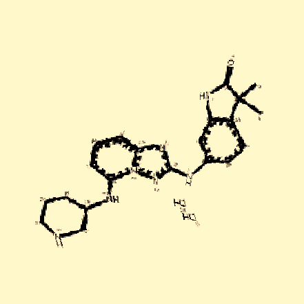 CC1(C)C(=O)Nc2cc(Nc3nc4cccc(NC5CCCNC5)n4n3)ccc21.Cl.Cl